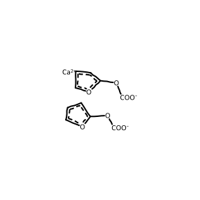 O=C([O-])Oc1ccco1.O=C([O-])Oc1ccco1.[Ca+2]